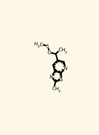 CSOC(C)c1cnc2sc(C)nc2c1